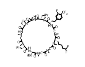 CC[C@H](C)[C@@H]1NC(=O)[C@H](CC(C)C)N(C)C(=O)C[C@@H](C)NC(=O)[C@H](CC(C)C)N(C)C(=O)C(C)(C)NC(=O)[C@H](CC(C)C)N(C)C(=O)[C@H](CCc2ccc(C(F)(F)F)c(F)c2)NC(=O)CN(C)C(=O)[C@H](CCCCC(F)F)N(C)C(=O)CN(C)C(=O)CN(C)C1=O